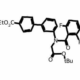 CCOC(=O)c1ccc(-c2cccc(N(CC(=O)OC(C)(C)C)C(=O)c3c(F)cccc3F)c2)cc1